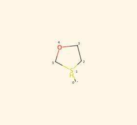 [CH2][SH]1CCOC1